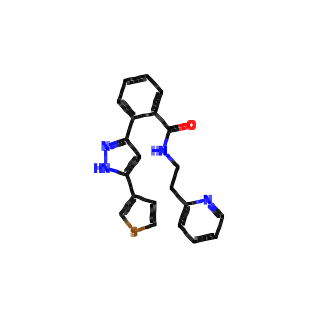 O=C(NCCc1ccccn1)c1ccccc1-c1cc(-c2ccsc2)[nH]n1